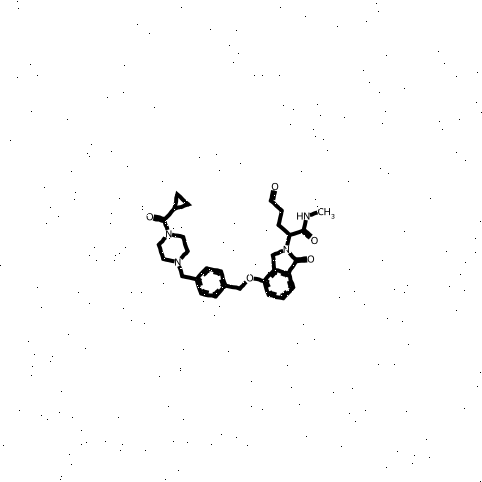 CNC(=O)C(CCC=O)N1Cc2c(OCc3ccc(CN4CCN(C(=O)C5CC5)CC4)cc3)cccc2C1=O